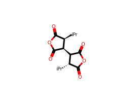 CC(C)[C@H]1C(=O)OC(=O)C1[C@H]1C(=O)OC(=O)[C@H]1C(C)C